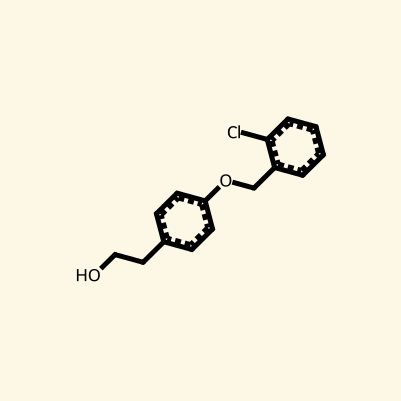 OCCc1ccc(OCc2ccccc2Cl)cc1